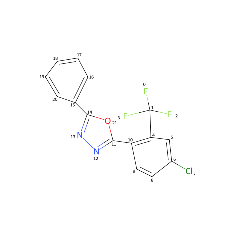 FC(F)(F)c1cc(Cl)ccc1-c1nnc(-c2ccccc2)o1